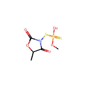 COP(O)(=S)SN1C(=O)OC(C)C1=O